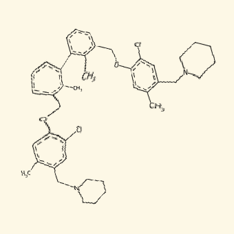 Cc1cc(OCc2cccc(-c3cccc(COc4cc(C)c(CN5CCCCC5)cc4Cl)c3C)c2C)c(Cl)cc1CN1CCCCC1